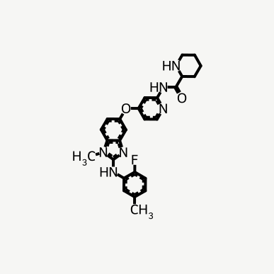 Cc1ccc(F)c(Nc2nc3cc(Oc4ccnc(NC(=O)C5CCCCN5)c4)ccc3n2C)c1